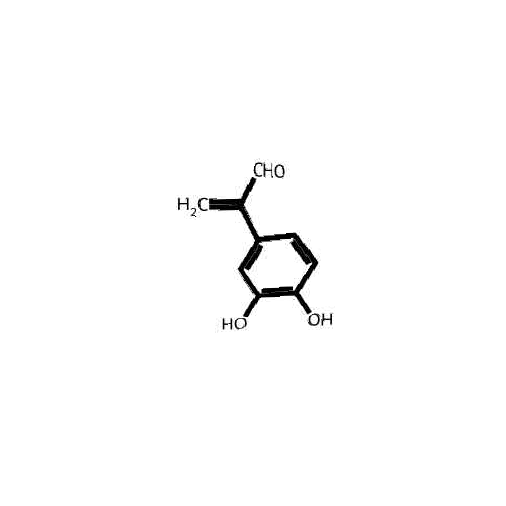 C=C(C=O)c1ccc(O)c(O)c1